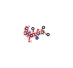 CO[C@@H]1OC(COC(C)=O)[C@@H](O[C@@H]2OC(C)[C@H](O[C@@H]3OC(COC(C)=O)[C@@H](O[C@@H]4OC(Cc5ccccc5)C(O[C@@H]5OC(COC(C)=O)[C@@H](O[C@@H]6OC(Cc7ccccc7)[C@@H](C)[C@@H](OCc7ccccc7)C6C)[C@H](C)C5N=[N+]=[N-])[C@@H](OCc5ccccc5)C4C)[C@H](C)C3N=[N+]=[N-])[C@@H](OCc3ccccc3)C2C)[C@H](C)C1C